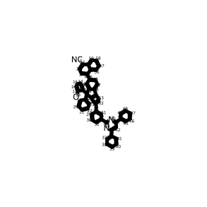 N#Cc1ccc(-c2ccc3c(c2)C2(c4ccccc4Oc4ccccc42)c2cc(-c4cccc(-c5nc(-c6ccccc6)cc(-c6ccccc6)n5)c4)ccc2-3)c2ccccc12